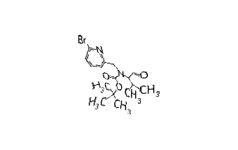 CC(C)C(C=O)N(Cc1cccc(Br)n1)C(=O)OC(C)(C)C